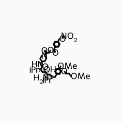 COCCCOc1cc(C[C@@H](C[C@H](N)[C@@H](O)C[C@H](C(=O)NC2CCN(C(=O)COC(=O)c3ccc(CO[N+](=O)[O-])cc3)CC2)C(C)C)C(C)C)ccc1OC